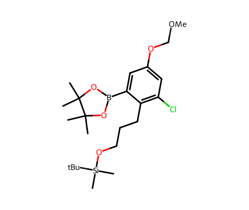 COCOc1cc(Cl)c(CCCO[Si](C)(C)C(C)(C)C)c(B2OC(C)(C)C(C)(C)O2)c1